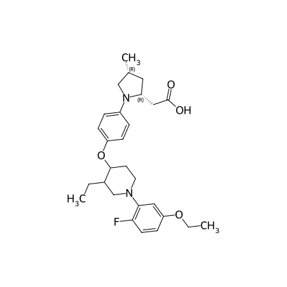 CCOc1ccc(F)c(N2CCC(Oc3ccc(N4C[C@H](C)C[C@@H]4CC(=O)O)cc3)C(CC)C2)c1